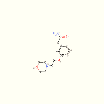 NC(=O)Cc1cccc(OCCN2CCOCC2)c1